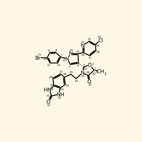 C[C@@H]1O[C@@H](c2cn(-c3ccc(Br)cc3)nc2-c2ccc(Cl)cn2)N(CCc2ccc3[nH]c(=O)[nH]c3c2)C1=O